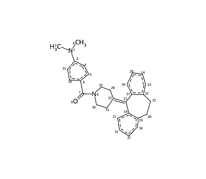 CN(C)c1ccc(C(=O)N2CCC(=C3c4ccccc4CCc4ccccc43)CC2)cc1